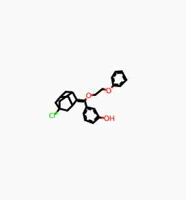 Oc1cccc(C(OCCOc2ccccc2)=C2C3CC4CC2CC(Cl)(C4)C3)c1